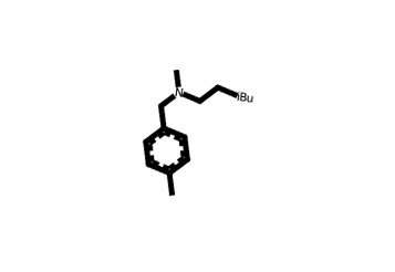 CCC(C)CCN(C)Cc1ccc(C)cc1